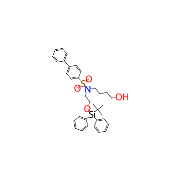 CC(C)(C)[Si](OCCN(CCCCO)S(=O)(=O)c1ccc(-c2ccccc2)cc1)(c1ccccc1)c1ccccc1